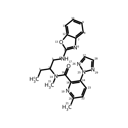 CCC(CNc1nc2ccccc2o1)N(C)C(=O)c1nc(C)ccc1-n1nccn1